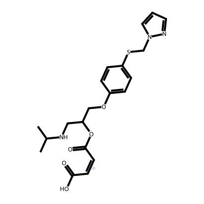 CC(C)NCC(COc1ccc(SCn2cccn2)cc1)OC(=O)/C=C\C(=O)O